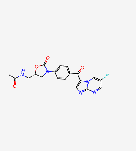 CC(=O)NC[C@H]1CN(c2ccc(C(=O)c3cnc4ncc(F)cn34)cc2)C(=O)O1